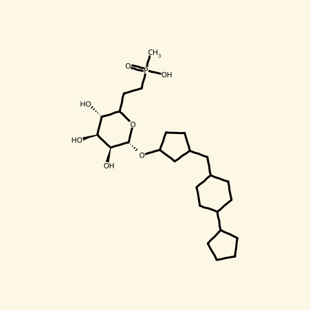 CP(=O)(O)CCC1O[C@H](OC2CCC(CC3CCC(C4CCCC4)CC3)C2)[C@@H](O)[C@@H](O)[C@@H]1O